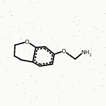 NCOc1ccc2c(c1)OCC[CH]2